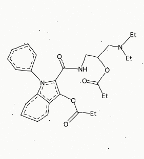 CCC(=O)Oc1c(C(=O)NCC(CN(CC)CC)OC(=O)CC)n(-c2ccccc2)c2ccccc12